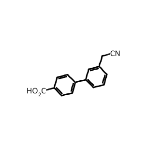 N#CCc1cccc(-c2ccc(C(=O)O)cc2)c1